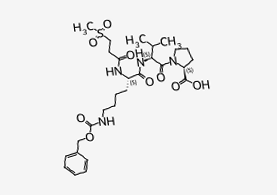 CC(C)[C@H](NC(=O)[C@H](CCCCNC(=O)OCc1ccccc1)NC(=O)CCS(C)(=O)=O)C(=O)N1CCC[C@H]1C(=O)O